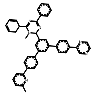 Cc1cccc(-c2ccc(-c3cc(-c4ccc(-c5cnccn5)cc4)cc(C4N=C(c5ccccc5)N=C(C5C=CC=CC5)N4C)c3)cc2)n1